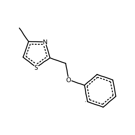 Cc1csc(COc2[c]cccc2)n1